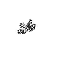 c1ccc(-c2nc(-c3cc4ccccc4cc3-c3cccc4oc5nc6ccccc6cc5c34)nc(-c3cccc4oc5ccccc5c34)n2)cc1